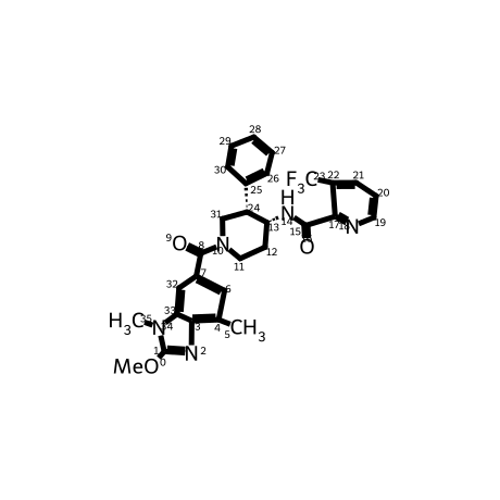 COc1nc2c(C)cc(C(=O)N3CC[C@@H](NC(=O)c4ncccc4C(F)(F)F)[C@@H](c4ccccc4)C3)cc2n1C